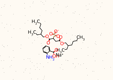 CCCCC(CC)COC(=O)CC(C(=O)OCC(CC)CCCC)S(=O)(=O)[O-].Nc1ccccc1C(=O)O.[Na+]